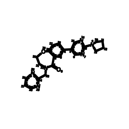 O=C1c2cc(-c3cnc(N4CCCC4)nc3)ccc2OCCN1Cc1ncccn1